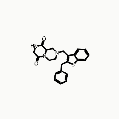 O=C1NCC(=O)N2CCN(Cc3c(Cc4ccccc4)sc4ccccc34)CC12